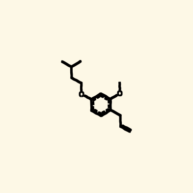 C=CCc1ccc(OCCC(C)C)cc1OC